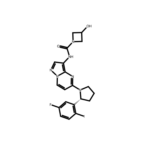 O=C(Nc1cnn2ccc(N3CCC[C@@H]3c3cc(F)ccc3I)nc12)N1CC(O)C1